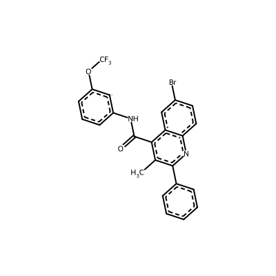 Cc1c(-c2ccccc2)nc2ccc(Br)cc2c1C(=O)Nc1[c]c(OC(F)(F)F)ccc1